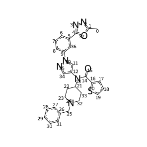 Cc1nnc(-c2cccc(-n3cc(N(C(=O)c4cccs4)C4CCN(Cc5ccccc5)CC4)cn3)c2)o1